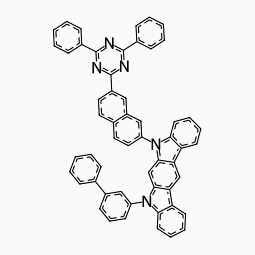 c1ccc(-c2cccc(-n3c4ccccc4c4cc5c6ccccc6n(-c6ccc7ccc(-c8nc(-c9ccccc9)nc(-c9ccccc9)n8)cc7c6)c5cc43)c2)cc1